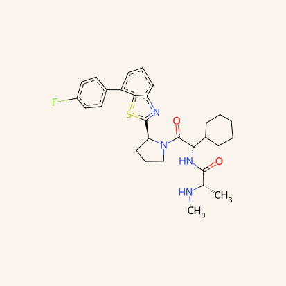 CN[C@@H](C)C(=O)N[C@H](C(=O)N1CCC[C@H]1c1nc2cccc(-c3ccc(F)cc3)c2s1)C1CCCCC1